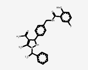 COc1ccc(F)cc1C(=O)NCc1ccc(C2NN(C(c3ccccc3)C(F)(F)F)C(N)=C2C(N)=O)cc1